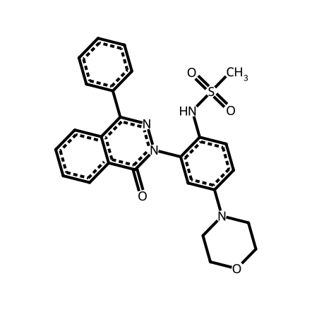 CS(=O)(=O)Nc1ccc(N2CCOCC2)cc1-n1nc(-c2ccccc2)c2ccccc2c1=O